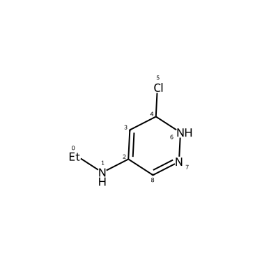 CCNC1=CC(Cl)NN=C1